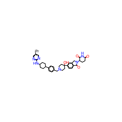 CC(C)c1cnc(NC2CCC(c3ccc(CN4CCC(O)(c5ccc6c(c5)CN(C5CCC(=O)NC5=O)C6=O)CC4)cc3)CC2)nc1